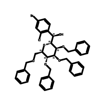 O[C@H](c1ccc(Br)cc1Cl)[C@H]1O[C@H](COCc2ccccc2)[C@@H](OCc2ccccc2)[C@H](OCc2ccccc2)[C@@H]1OCc1ccccc1